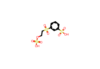 O=S(=O)(O)OCCS(=O)(=O)c1cccc(S(=O)(=O)O)c1